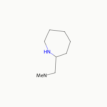 CNCC1CCCCCN1